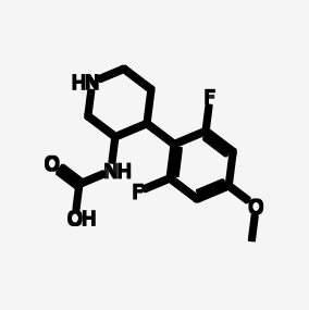 COc1cc(F)c(C2CCNCC2NC(=O)O)c(F)c1